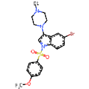 CCN1CCN(c2cn(S(=O)(=O)c3ccc(OC(F)(F)F)cc3)c3ccc(Br)cc23)CC1